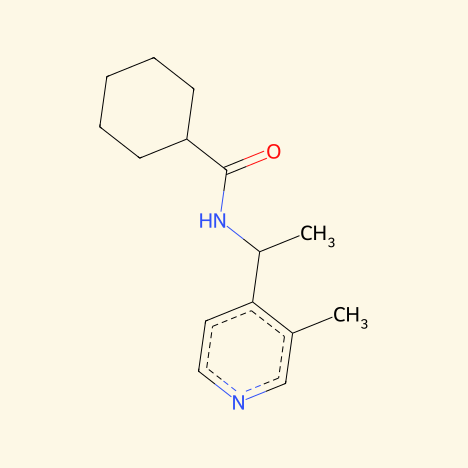 Cc1cnccc1C(C)NC(=O)C1CCCCC1